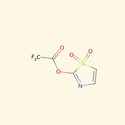 O=C(OC1=NC=CS1(=O)=O)C(F)(F)F